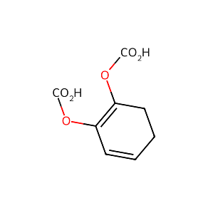 O=C(O)OC1=C(OC(=O)O)CCC=C1